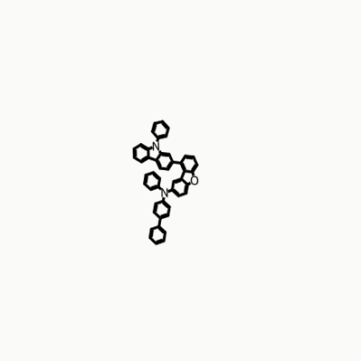 c1ccc(-c2ccc(N(c3ccccc3)c3ccc4oc5cccc(-c6ccc7c8ccccc8n(-c8ccccc8)c7c6)c5c4c3)cc2)cc1